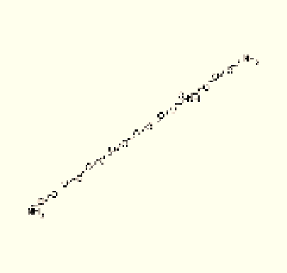 NCCCOCCOCCOCCCNC(=O)CCOCCOCCOCCOCCOCCOCCOCCOCCOCCOCCOCCOCCN